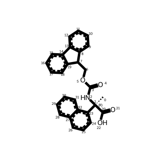 C[C@](NC(=O)OCC1c2ccccc2-c2ccccc21)(C(=O)O)c1cccc2ccccc12